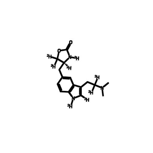 [2H]c1c(CC([2H])([2H])N(C)C)c2cc(C[C@]3([2H])N([2H])C(=O)OC3([2H])[2H])ccc2n1[2H]